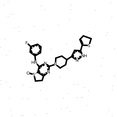 [O-][S+]1CCc2nc(N3CCC(c4cc(C5=CCCS5)[nH]n4)CC3)nc(Nc3cccc(F)c3)c21